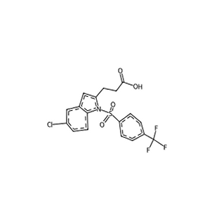 O=C(O)CCc1cc2cc(Cl)ccc2n1S(=O)(=O)c1ccc(C(F)(F)F)cc1